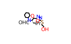 CC(C)C[C@@H](C(=O)c1nnc(SCCO)o1)N(C=O)C1CCCCC1